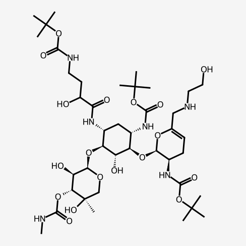 CNC(=O)O[C@@H]1[C@@H](O)[C@@H](O[C@@H]2[C@@H](O)[C@H](O[C@H]3OC(CNCCO)=CC[C@H]3NC(=O)OC(C)(C)C)[C@@H](NC(=O)OC(C)(C)C)C[C@H]2NC(=O)C(O)CCNC(=O)OC(C)(C)C)OC[C@@]1(C)O